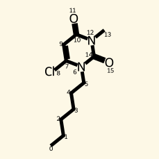 CCCCCCn1c(Cl)cc(=O)n(C)c1=O